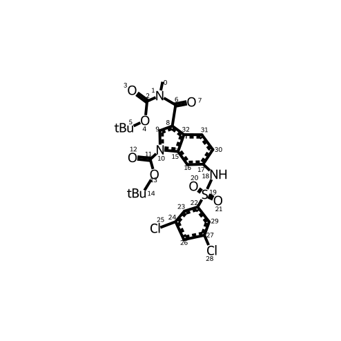 CN(C(=O)OC(C)(C)C)C(=O)c1cn(C(=O)OC(C)(C)C)c2cc(NS(=O)(=O)c3cc(Cl)cc(Cl)c3)ccc12